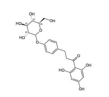 O=C(CCc1ccc(OC2O[C@H](CO)[C@@H](O)[C@H](O)[C@H]2O)cc1)c1c(O)cc(O)cc1O